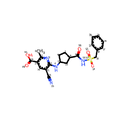 Cc1nc(NC2CCC(C(=O)NS(=O)(=O)Cc3ccccc3)C2)c(C#N)cc1C(=O)O